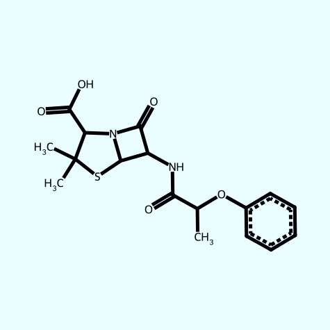 CC(Oc1ccccc1)C(=O)NC1C(=O)N2C1SC(C)(C)C2C(=O)O